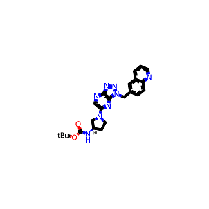 CC(C)(C)OC(=O)N[C@@H]1CCN(c2cnc3nnn(Cc4ccc5ncccc5c4)c3n2)C1